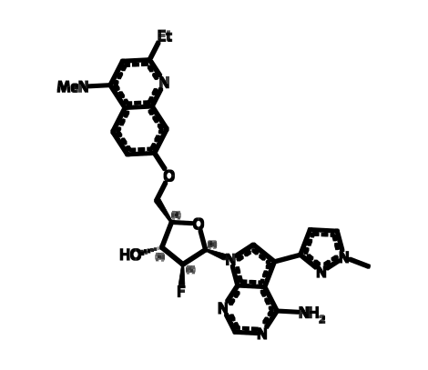 CCc1cc(NC)c2ccc(OC[C@H]3O[C@@H](n4cc(-c5ccn(C)n5)c5c(N)ncnc54)[C@@H](F)[C@@H]3O)cc2n1